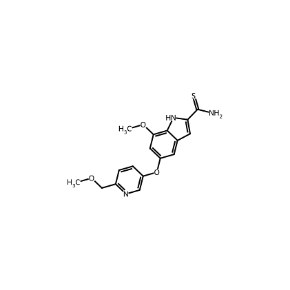 COCc1ccc(Oc2cc(OC)c3[nH]c(C(N)=S)cc3c2)cn1